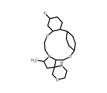 CC1CC2(COCCN2)C2COC3CCC(CC3)C3CCC(F)CC3OCCN12